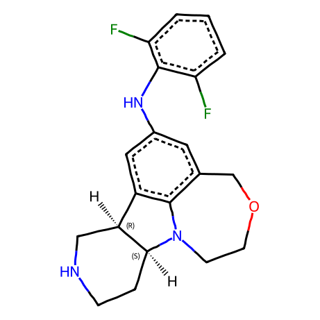 Fc1cccc(F)c1Nc1cc2c3c(c1)[C@@H]1CNCC[C@@H]1N3CCOC2